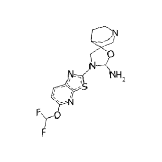 NC1OC2(CN3CCC2CC3)CN1c1nc2ccc(OC(F)F)nc2s1